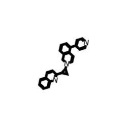 C1=CN(C2CC2c2ccc3ccccc3n2)Cc2cccc(-c3ccncc3)c21